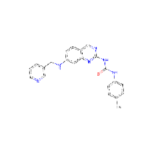 N#Cc1ccc(NC(=O)Nc2ncc3ccc(NCc4cccnc4)cc3n2)cc1